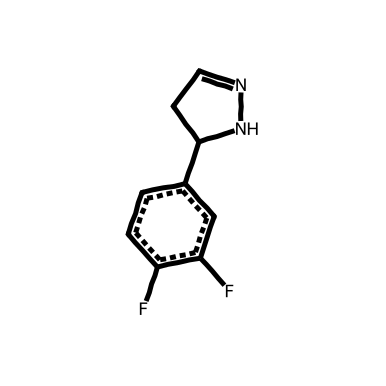 Fc1ccc(C2CC=NN2)cc1F